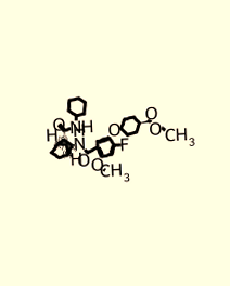 CCOC(=O)[C@H]1CC[C@@H](Oc2cc(C(=O)N[C@@H]3[C@H]4CC[C@H](C4)[C@@H]3C(=O)NC3CCCCC3)c(OC)cc2F)CC1